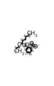 C=CCOC(=O)CCCCC.O=[N+]([O-])c1ccccc1O